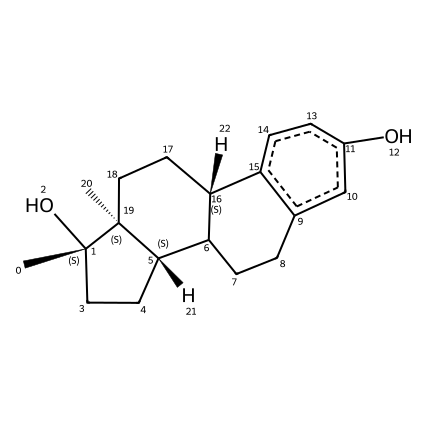 C[C@]1(O)CC[C@H]2C3CCc4cc(O)ccc4[C@H]3CC[C@@]21C